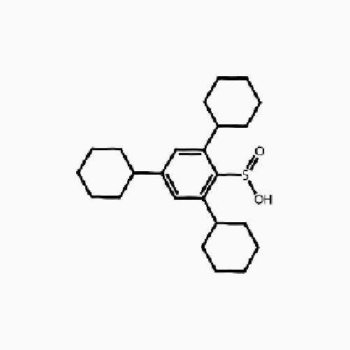 O=S(O)c1c(C2CCCCC2)cc(C2CCCCC2)cc1C1CCCCC1